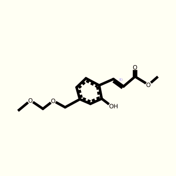 COCOCc1ccc(/C=C/C(=O)OC)c(O)c1